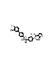 NC1=c2ccoc2=NCN1c1ccc(NS(=O)(=O)c2ccc(-c3ccc(Cl)c(Cl)c3)cc2)cc1